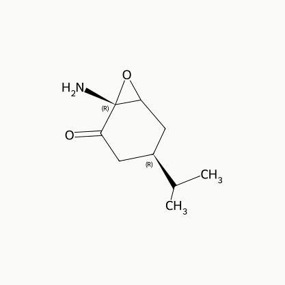 CC(C)[C@H]1CC(=O)[C@]2(N)OC2C1